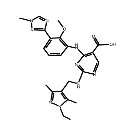 CCn1nc(C)c(CNc2ncc(C(=O)O)c(Nc3cccc(-c4ncn(C)n4)c3OC)n2)c1C